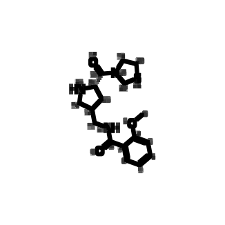 COc1ccccc1C(=O)NCC1CN[C@H](C(=O)N2CCSC2)C1